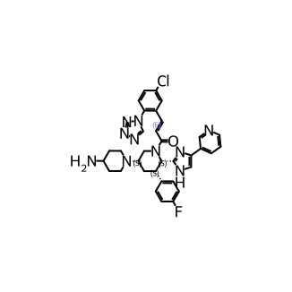 NC1CCN([C@H]2C[C@@H](c3ccc(F)cc3)[C@@H](c3nc(-c4cccnc4)c[nH]3)N(C(=O)/C=C/c3cc(Cl)ccc3-n3cnnn3)C2)CC1